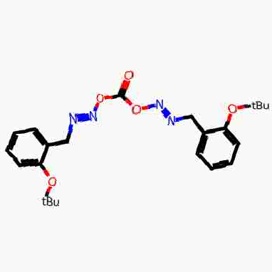 CC(C)(C)Oc1ccccc1CN=NOC(=O)ON=NCc1ccccc1OC(C)(C)C